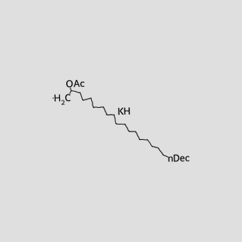 [CH2]C(CCCCCCCCCCCCCCCCCCCCCCCCCC)OC(C)=O.[KH]